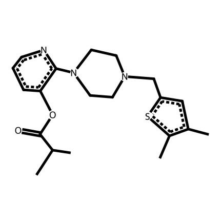 Cc1cc(CN2CCN(c3ncccc3OC(=O)C(C)C)CC2)sc1C